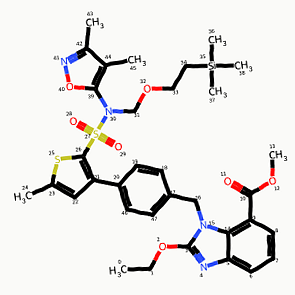 CCOc1nc2cccc(C(=O)OC)c2n1Cc1ccc(-c2cc(C)sc2S(=O)(=O)N(COCC[Si](C)(C)C)c2onc(C)c2C)cc1